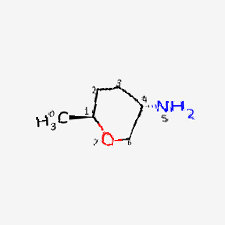 C[C@H]1CC[C@H](N)CO1